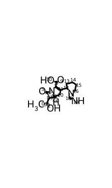 C[C@@H](O)[C@H]1C(=O)N2C(C(=O)O)=C(C3CCCCN3C=N)C[C@H]12